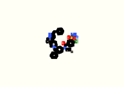 CCn1nc(Cc2ccccc2)cc1C1CCN(CC2(c3ccccc3)CCC(N(C)C(=O)c3ccc(Cl)c(S(N)(=O)=O)c3)CC2)CC1